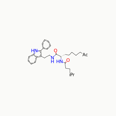 CC(=O)CCCCC[C@H](NC(=O)CCC(C)C)C(=O)NCCc1c(-c2ccccc2)[nH]c2ccccc12